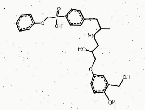 CC(Cc1ccc(P(=O)(O)COc2ccccc2)cc1)NCC(O)COc1ccc(O)c(CO)c1